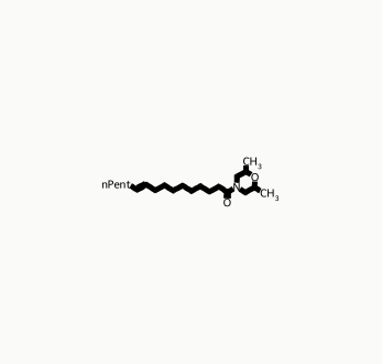 CCCCC/C=C/CCCCCCCCC(=O)N1CC(C)OC(C)C1